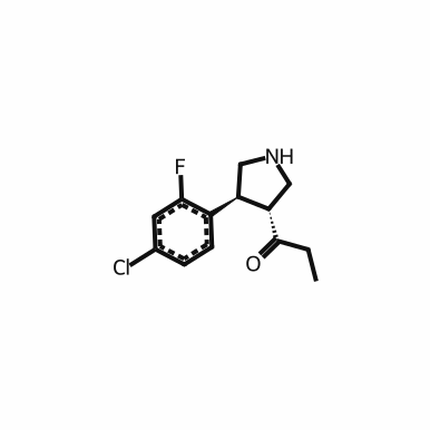 CCC(=O)[C@H]1CNC[C@@H]1c1ccc(Cl)cc1F